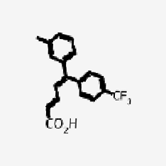 Cc1cccc(C(=CC=CC(=O)O)c2ccc(C(F)(F)F)cc2)c1